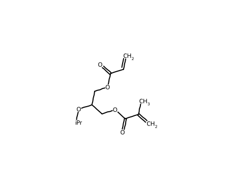 C=CC(=O)OCC(COC(=O)C(=C)C)OC(C)C